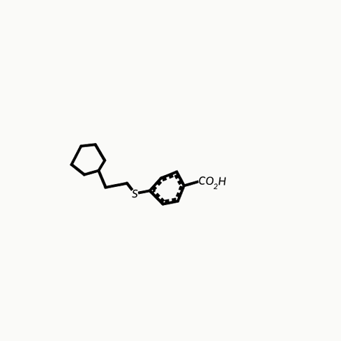 O=C(O)c1ccc(SCCC2CCCCC2)cc1